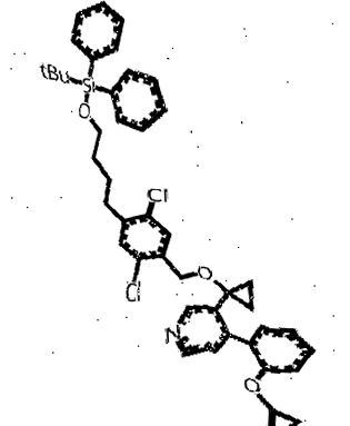 CC(C)(C)[Si](OCCCCc1cc(Cl)c(COC2(c3cnccc3-c3ccccc3OC3CC3)CC2)cc1Cl)(c1ccccc1)c1ccccc1